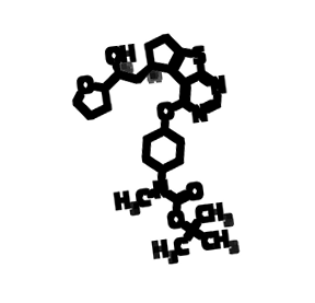 CN(C(=O)OC(C)(C)C)C1CCC(Oc2ncnc3sc4c(c23)[C@@H](C[C@H](O)C2CCCO2)CC4)CC1